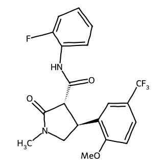 COc1ccc(C(F)(F)F)cc1[C@H]1CN(C)C(=O)[C@@H]1C(=O)Nc1ccccc1F